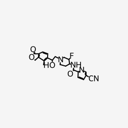 Cc1c(C(O)CN2CCC(NC(=O)c3ccc(C#N)cn3)C(F)C2)ccc2c1COC2=O